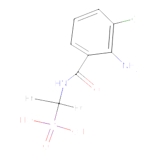 CCC(CC)(NC(=O)c1cccc(Cl)c1N)P(=O)(O)O